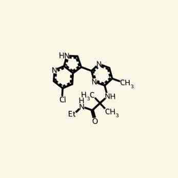 CCNC(=O)C(C)(C)Nc1nc(-c2c[nH]c3ncc(Cl)cc23)ncc1C